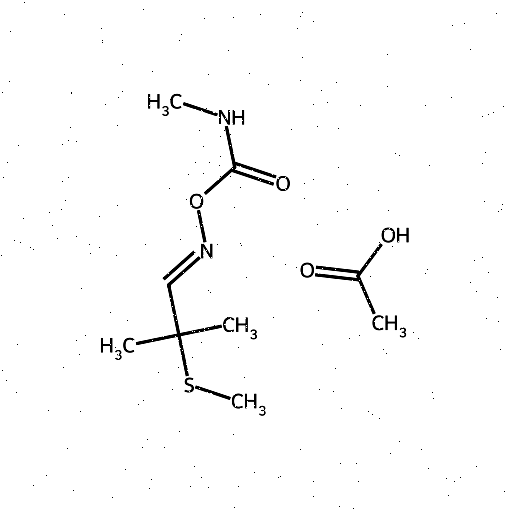 CC(=O)O.CNC(=O)ON=CC(C)(C)SC